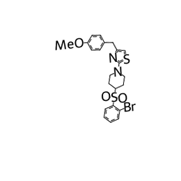 COc1ccc(Cc2csc(N3CCC(S(=O)(=O)c4ccccc4Br)CC3)n2)cc1